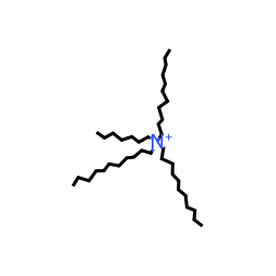 CCCCCCCCCCC[N+](CCCCCCC)(CCCCCCCCCCC)CCCCCCCCCCC